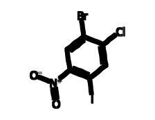 O=[N+]([O-])c1cc(Br)c(Cl)cc1I